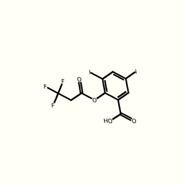 O=C(CC(F)(F)F)Oc1c(I)cc(I)cc1C(=O)O